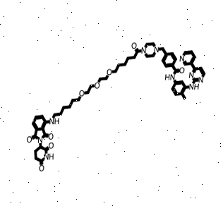 Cc1ccc(NC(=O)c2ccc(CN3CCN(C(=O)CCCCCOCCOCCOCCCCCCNc4cccc5c4C(=O)N(C4CCC(=O)NC4=O)C5=O)CC3)cc2)cc1Nc1nccc(-c2cccnc2)n1